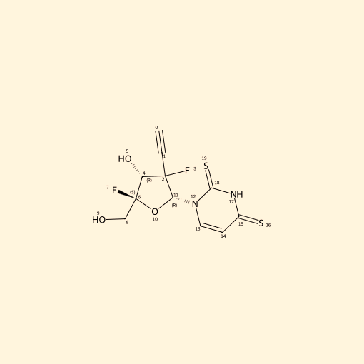 C#CC1(F)[C@@H](O)[C@@](F)(CO)O[C@H]1n1ccc(=S)[nH]c1=S